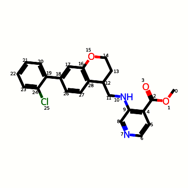 COC(=O)c1ccncc1NCC1CCOc2cc(-c3ccccc3Cl)ccc21